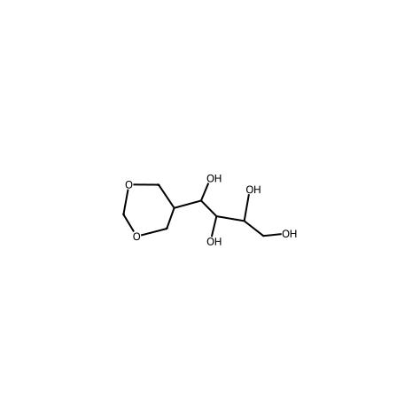 OCC(O)C(O)C(O)C1COCOC1